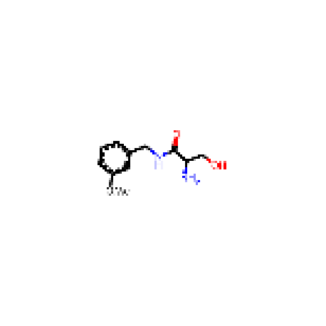 COc1cccc(CNC(=O)C(N)CO)c1